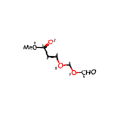 COC(=O)CCOCOC=O